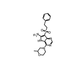 CC1CN(c2ncnc3c(S(=O)(=O)CCc4ccccc4)c(N)[nH]c23)CCO1